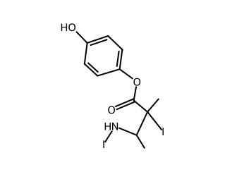 CC(NI)C(C)(I)C(=O)Oc1ccc(O)cc1